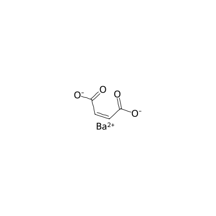 O=C([O-])/C=C\C(=O)[O-].[Ba+2]